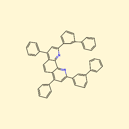 c1ccc(-c2cccc(-c3cc(-c4ccccc4)c4ccc5c(-c6ccccc6)cc(-c6cccc(-c7ccccc7)c6)nc5c4n3)c2)cc1